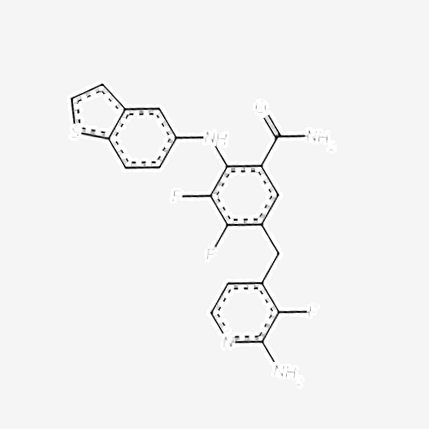 NC(=O)c1cc(Cc2ccnc(N)c2F)c(F)c(F)c1Nc1ccc2sccc2c1